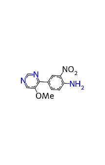 COc1cncnc1-c1ccc(N)c([N+](=O)[O-])c1